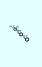 CN1CCC(NCc2ccc(OCc3ccccc3F)cc2)C1=O